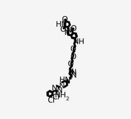 CC1(NCc2cn(CCOCCOCCOCCNc3ccc4c(=O)n(C5CCC(=O)NC5=O)ncc4c3)nn2)CCN(c2cnc(-c3cccc(Cl)c3Cl)c(N)n2)CC1